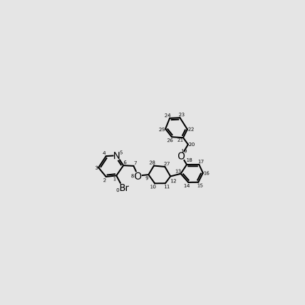 Brc1cccnc1COC1CCC(c2ccccc2OCc2ccccc2)CC1